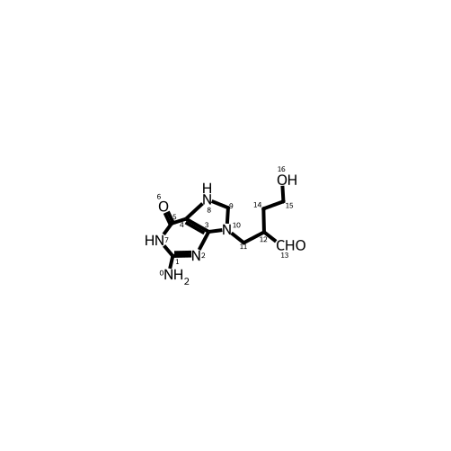 Nc1nc2c(c(=O)[nH]1)NCN2CC(C=O)CCO